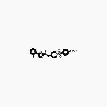 COc1ccc(S(=O)(=O)N2CCC(CNc3ncc(-c4ccc[c]c4C)s3)CC2)cc1